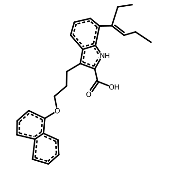 CCC=C(CC)c1cccc2c(CCCOc3cccc4ccccc34)c(C(=O)O)[nH]c12